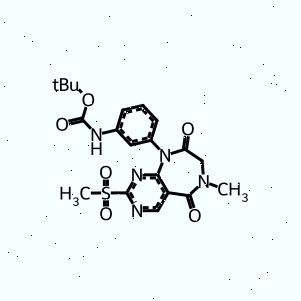 CN1CC(=O)N(c2cccc(NC(=O)OC(C)(C)C)c2)c2nc(S(C)(=O)=O)ncc2C1=O